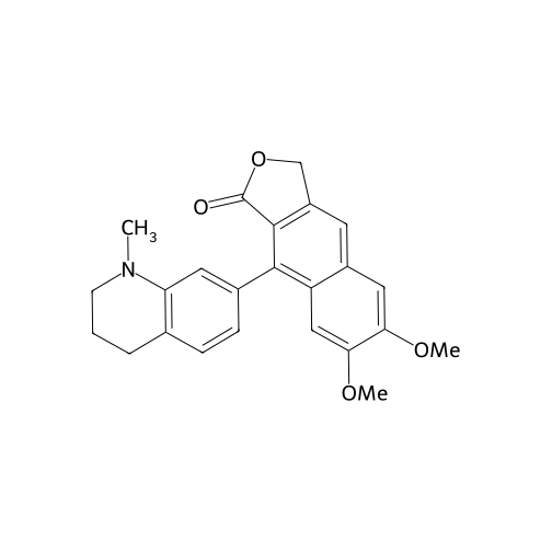 COc1cc2cc3c(c(-c4ccc5c(c4)N(C)CCC5)c2cc1OC)C(=O)OC3